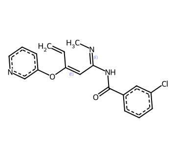 C=C/C(=C\C(=N/C)NC(=O)c1cccc(Cl)c1)Oc1cccnc1